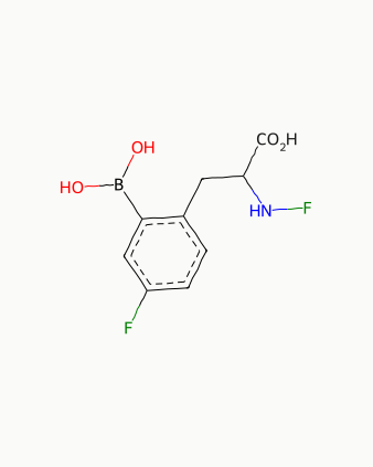 O=C(O)C(Cc1ccc(F)cc1B(O)O)NF